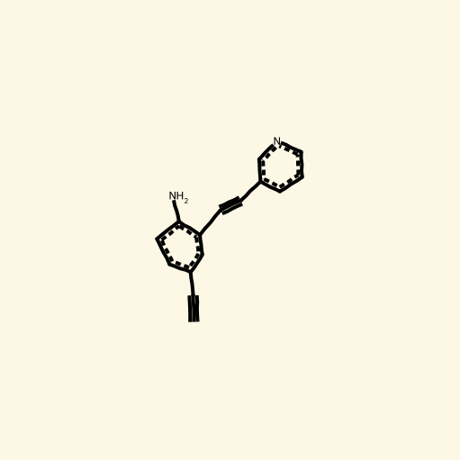 C#Cc1ccc(N)c(C#Cc2cccnc2)c1